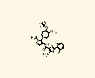 [2H]C([2H])([2H])OC1CCN(c2c(NC(=O)c3nc(-c4c(F)cccc4F)sc3N)cnn2C)CCC1N